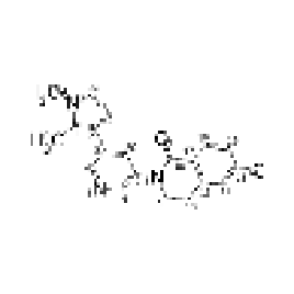 Cc1c(-c2cncc(N3CCc4cc(Cl)ccc4C3=O)c2)ncn1C